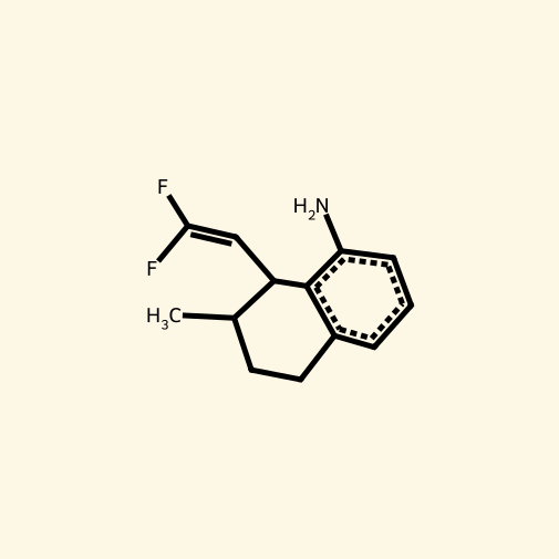 CC1CCc2cccc(N)c2C1C=C(F)F